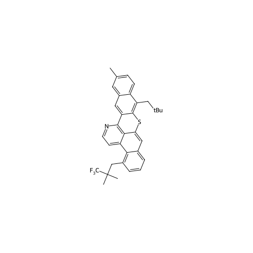 Cc1ccc2c(CC(C)(C)C)c3c(cc2c1)-c1nccc2c1c(cc1cccc(CC(C)(C)C(F)(F)F)c12)S3